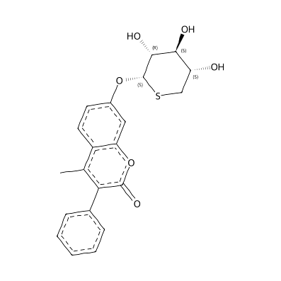 Cc1c(-c2ccccc2)c(=O)oc2cc(O[C@H]3SC[C@@H](O)[C@H](O)[C@H]3O)ccc12